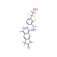 Cc1nnc(NC(C)c2cccc(C(F)(F)C(C)(C)O)c2F)c2cc3c(cc12)C(C)(C)C(=O)N3C